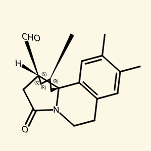 Cc1cc2c(cc1C)[C@@]13C[C@H](C)[C@@H](C=O)[C@@H]1CC(=O)N3CC2